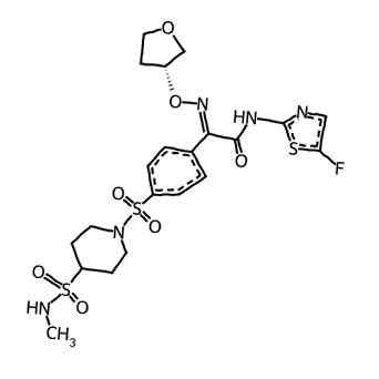 CNS(=O)(=O)C1CCN(S(=O)(=O)c2ccc(/C(=N\O[C@@H]3CCOC3)C(=O)Nc3ncc(F)s3)cc2)CC1